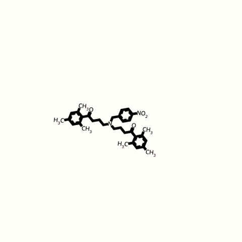 Cc1cc(C)c(C(=O)CCCN(CCCC(=O)c2c(C)cc(C)cc2C)Cc2ccc([N+](=O)[O-])cc2)c(C)c1